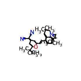 CC1(C)C=C2C(C=CC3=CC(=C(C#N)C#N)C=C(C(C)(C)C)O3)=CC=CC23N(CCCC3(C)C)C1